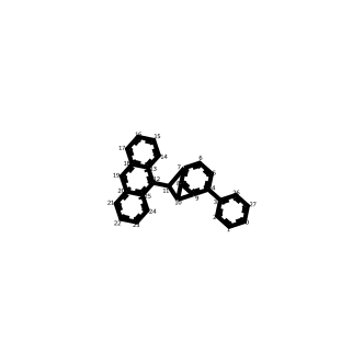 c1ccc(-c2ccc3c4c2C4C3c2c3ccccc3cc3ccccc23)cc1